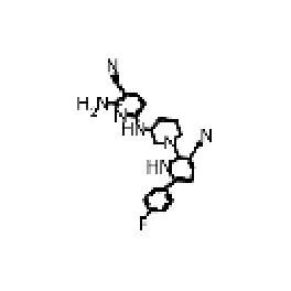 N#CC1=CC=C(c2ccc(F)cc2)NC1N1CCCC(Nc2ccc(C#N)c(N)n2)C1